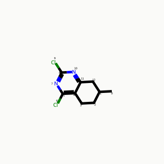 CC1CCc2c(Cl)nc(Cl)nc2C1